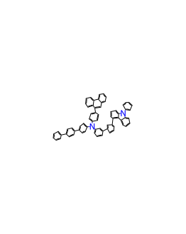 c1ccc(-c2ccc(-c3ccc(N(c4ccc(-c5cc6ccccc6c6ccccc56)cc4)c4cccc(-c5cccc(-c6cccc7c6c6ccccc6n7-c6ccccc6)c5)c4)cc3)cc2)cc1